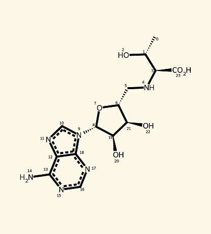 C[C@@H](O)[C@H](NC[C@H]1O[C@@H](n2cnc3c(N)ncnc32)[C@H](O)[C@@H]1O)C(=O)O